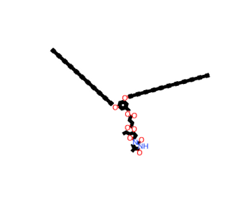 C#CC#CC#CC#CC#CC#CC#CC#CC#CC#CC#COc1cc(COC(=O)CCC(=O)OC2CC(n3cc(C)c(=O)[nH]c3=O)OC2CC)cc(OC#CC#CC#CC#CC#CC#CC#CC#CC#CC#CC#C)c1